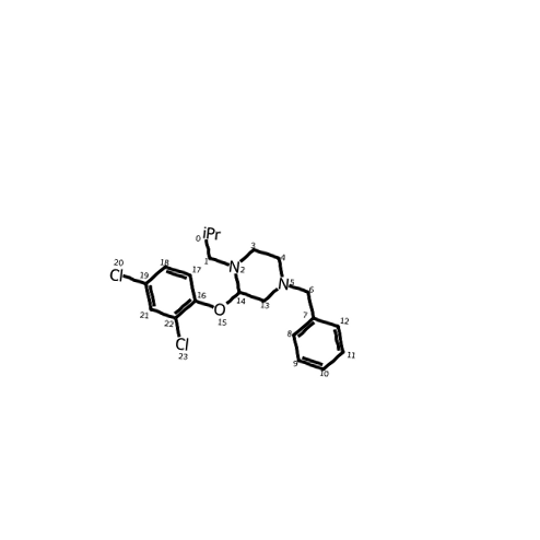 CC(C)CN1CCN(Cc2ccccc2)CC1Oc1ccc(Cl)cc1Cl